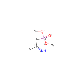 COP(=O)(CC(C)=N)OC